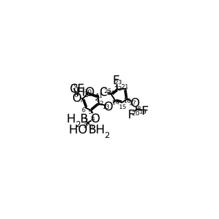 BC(B)(O)Oc1cc(OC(F)(F)F)ccc1Oc1cc(OC(F)F)cc(F)c1C(=O)O